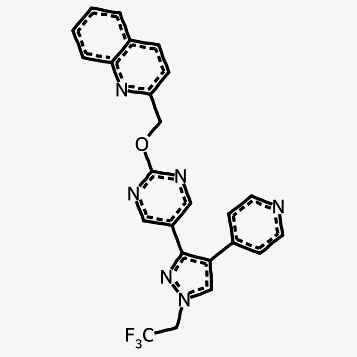 FC(F)(F)Cn1cc(-c2ccncc2)c(-c2cnc(OCc3ccc4ccccc4n3)nc2)n1